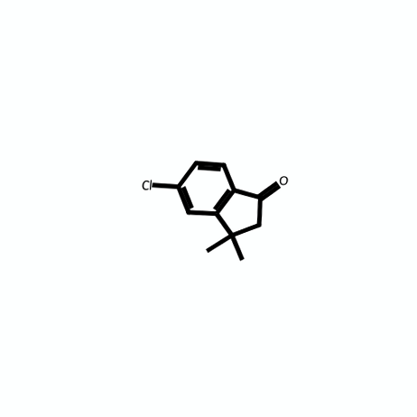 CC1(C)CC(=O)c2ccc(Cl)cc21